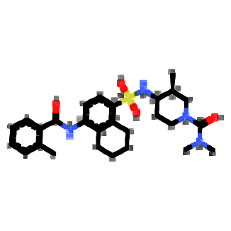 Cc1ccccc1C(=O)Nc1ccc(S(=O)(=O)N[C@@H]2CCN(C(=O)N(C)C)C[C@@H]2C)c2c1CCCC2